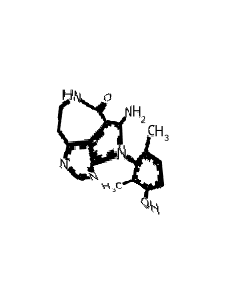 Cc1ccc(O)c(C)c1-n1c(N)c2c3c(ncnc31)CCNC2=O